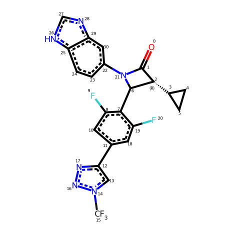 O=C1[C@H](C2CC2)C(c2c(F)cc(-c3cn(C(F)(F)F)nn3)cc2F)N1c1ccc2[nH]cnc2c1